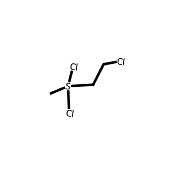 CS(Cl)(Cl)CCCl